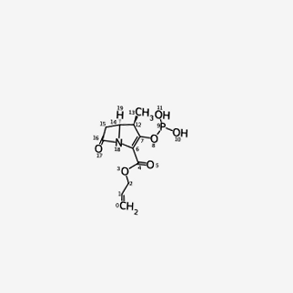 C=CCOC(=O)C1=C(OP(O)O)[C@H](C)[C@@H]2CC(=O)N12